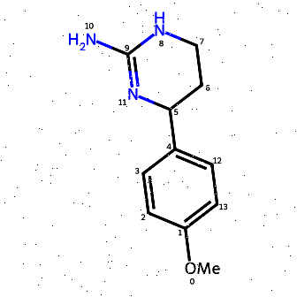 COc1ccc(C2CCNC(N)=N2)cc1